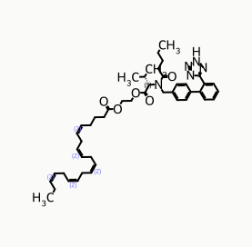 CC/C=C\C/C=C\C/C=C\C/C=C\C/C=C\CCCC(=O)OCCOC(=O)[C@H](C(C)C)N(Cc1ccc(-c2ccccc2-c2nn[nH]n2)cc1)C(=O)CCCC